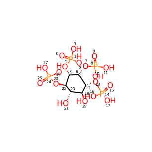 O=P(O)(O)O[C@@H]1[C@H](OP(=O)(O)O)[C@H](OP(=O)(O)O)[C@@H](O)[C@H](O)[C@H]1OP(=O)(O)O